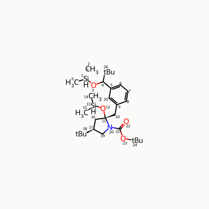 C[SiH](C)OC(c1cccc(C[C@]2(O[SiH](C)C)C[C@H](C(C)(C)C)CN2C(=O)OC(C)(C)C)c1)C(C)(C)C